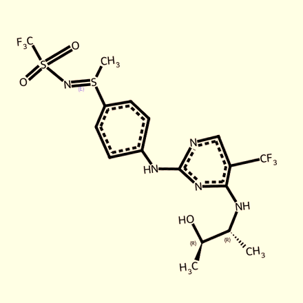 C[C@@H](O)[C@@H](C)Nc1nc(Nc2ccc(/S(C)=N/S(=O)(=O)C(F)(F)F)cc2)ncc1C(F)(F)F